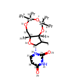 CC1[C@H]2O[Si](C(C)C)(C(C)C)O[Si](C(C)C)(C(C)C)OC[C@H]2O[C@H]1n1ccc(=O)[nH]c1=O